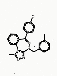 Cc1cccc(CN2N=C(c3ccc(Cl)cc3)c3ccccc3-n3c(C)nnc32)c1